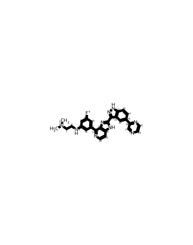 CN(C)CCNc1cc(F)cc(-c2nccc3[nH]c(-c4n[nH]c5ccc(-c6cnccn6)cc45)nc23)c1